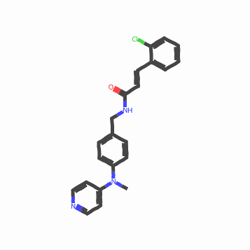 CN(c1ccncc1)c1ccc(CNC(=O)C=Cc2ccccc2Cl)cc1